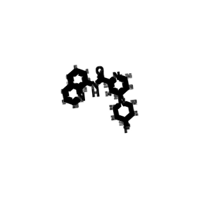 O=C(Nc1cccc2cccnc12)c1cc(N2CCC(F)CC2)ccn1